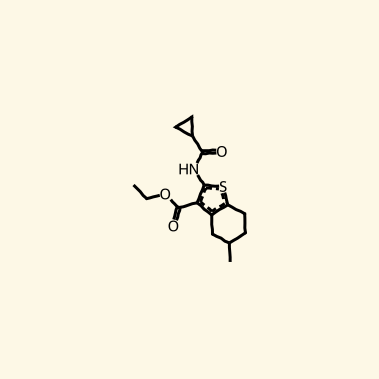 CCOC(=O)c1c(NC(=O)C2CC2)sc2c1CC(C)CC2